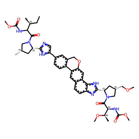 CC[C@H](C)C(NC(=O)OC)C(=O)N1C[C@@H](C)C[C@H]1c1ncc(-c2ccc3c(c2)COc2cc4c(ccc5nc([C@@H]6C[C@H](COC)CN6C(=O)[C@@H](NC(=O)OC)[C@@H](C)OC)[nH]c54)cc2-3)[nH]1